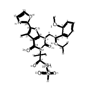 COc1ccccc1[C@H](Cn1c(=O)n(C(C)(C)C(=O)NS(C)(=O)=O)c(=O)c2c(C)c(-c3ncco3)sc21)OC(C)C